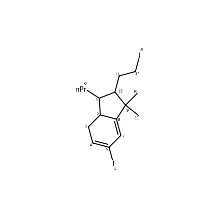 CCCC1C2CC=C(I)C=C2C(C)(C)C1CCI